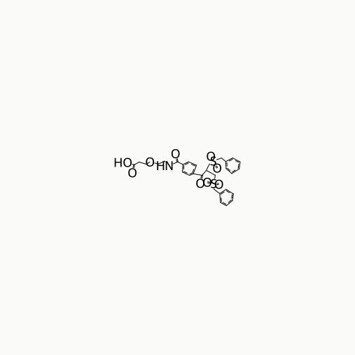 O=C(O)CCOCCNC(=O)c1ccc(C(=O)C(CS(=O)(=O)Cc2ccccc2)CS(=O)(=O)Cc2ccccc2)cc1